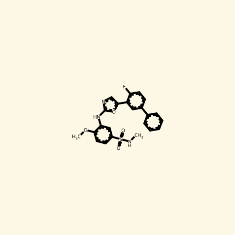 CNS(=O)(=O)c1ccc(OC)c(Nc2ncc(-c3cc(-c4ccccc4)ccc3F)o2)c1